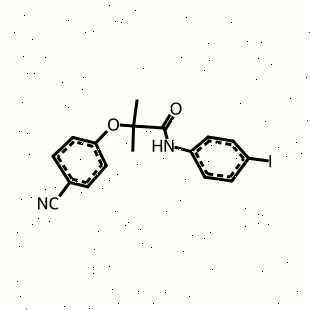 CC(C)(Oc1ccc(C#N)cc1)C(=O)Nc1ccc(I)cc1